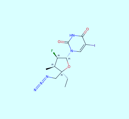 CC[C@@]1(CN=[N+]=[N-])O[C@@H](n2cc(I)c(=O)[nH]c2=O)[C@H](F)[C@@H]1C